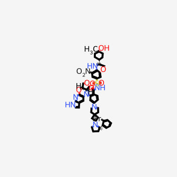 CC(C)c1ccccc1[C@@H]1CCCN1C1CC2(CCN(c3ccc(C(=O)NS(=O)(=O)c4cc5c(c([N+](=O)[O-])c4)N[C@H](C4CCC(C)(O)CC4)CO5)c(N4c5cc6cc[nH]c6nc5O[C@@H]5COC[C@H]54)c3)CC2)C1